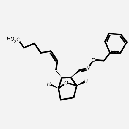 O=C(O)CCC/C=C\C[C@@H]1[C@@H](C=NOCc2ccccc2)[C@@H]2CC[C@H]1O2